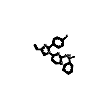 C=Cc1cn(-c2ccnc(N[C@@H](C)c3ccccc3)n2)c(-c2ccc(F)cc2)n1